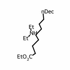 CCCCCCCCCCCCCCCCCC(=O)OCC.CCNCC